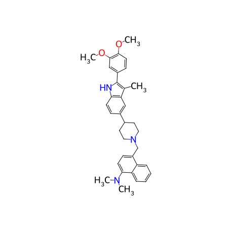 COc1ccc(-c2[nH]c3ccc(C4CCN(Cc5ccc(N(C)C)c6ccccc56)CC4)cc3c2C)cc1OC